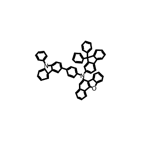 c1ccc(-n2c3ccccc3c3cc(-c4ccc(N(c5ccc6c(c5)C(c5ccccc5)(c5ccccc5)c5ccccc5-6)c5cc6ccccc6c6oc7ccccc7c56)cc4)ccc32)cc1